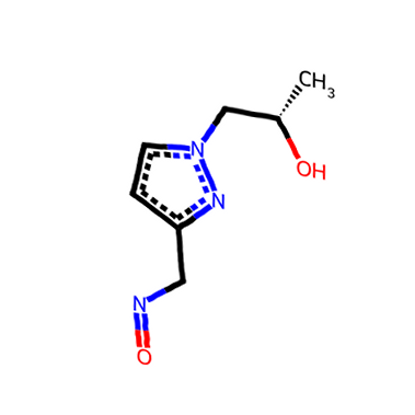 C[C@H](O)Cn1ccc(CN=O)n1